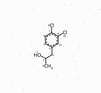 CC(O)Cc1ccc(Cl)c(Cl)c1